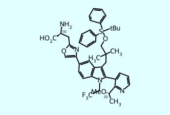 CO[C@@H](C)c1ncccc1-c1c(CC(C)(C)CO[Si](c2ccccc2)(c2ccccc2)C(C)(C)C)c2cc(-c3coc(C[C@H](N)C(=O)O)n3)ccc2n1CC(F)(F)F